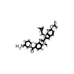 Cn1c(-c2cc3ccc(OC(F)F)nc3n2CC2CC2)nc2cc(C(=O)N3CCCC(N)C3)ccc21